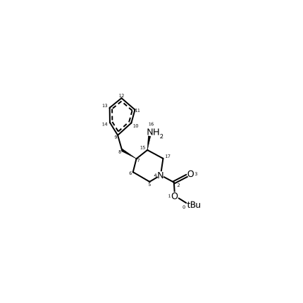 CC(C)(C)OC(=O)N1CC[C@@H](Cc2ccccc2)[C@@H](N)C1